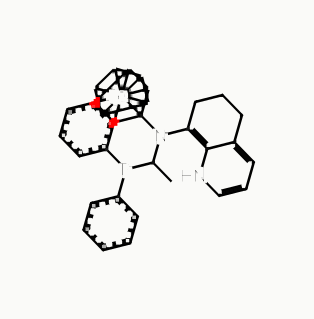 CC(N(C1=C2NC=CC=C2CCC1)[C]12[CH]3[CH]4[CH]5[CH]1[Fe]45321678[CH]2[CH]1[CH]6[CH]7[CH]28)P(c1ccccc1)c1ccccc1